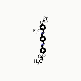 C=CC(=O)Oc1ccc(/C=C/c2ccc(/C=C/c3ccc(OC(=O)C(C)C)cc3C(F)(F)F)cc2)cc1